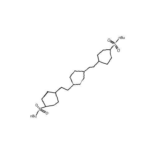 CCCCS(=O)(=O)C1CCC(CCC2CCC(CCC3CCC(S(=O)(=O)CCCC)CC3)CC2)CC1